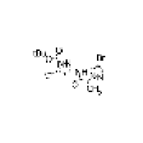 CC(C(=O)Nc1cc(C2CC2)n(C(=O)OC(C)(C)C)n1)n1cc(Br)cn1